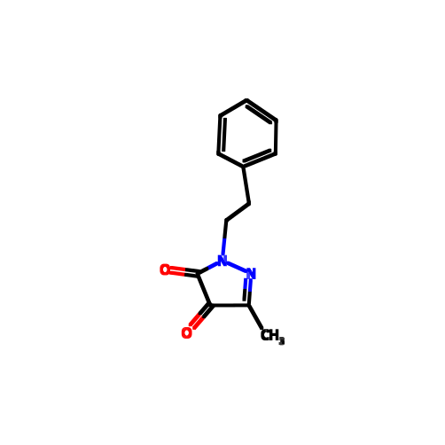 CC1=NN(CCc2ccccc2)C(=O)C1=O